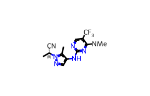 CNc1nc(Nc2cnn([C@H](C)C#N)c2C)ncc1C(F)(F)F